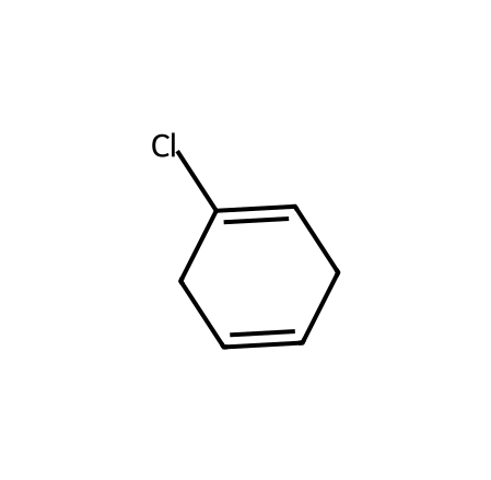 ClC1=CCC=CC1